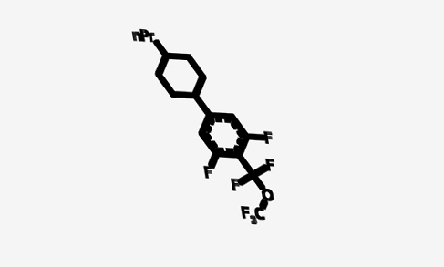 CCCC1CCC(c2cc(F)c(C(F)(F)OC(F)(F)F)c(F)c2)CC1